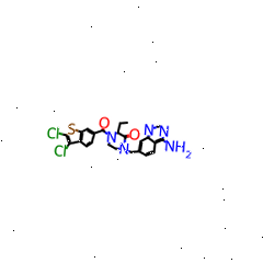 CCC1C(=O)N(Cc2ccc3c(N)ncnc3c2)CCN1C(=O)c1ccc2c(Cl)c(Cl)sc2c1